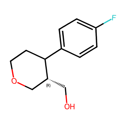 OC[C@@H]1COCCC1c1ccc(F)cc1